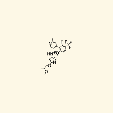 COc1ccc(C(F)(F)F)c(F)c1-c1cc(C)ncc1C(=O)Nc1nnc(OCC(C)OC)s1